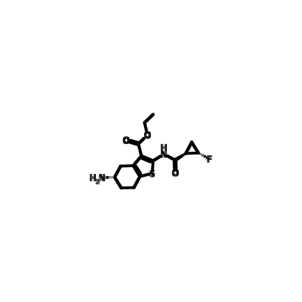 CCOC(=O)c1c(NC(=O)[C@H]2C[C@@H]2F)sc2c1C[C@@H](N)CC2